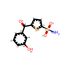 NS(=O)(=O)c1ccc(C(=O)c2cccc(O)c2)s1